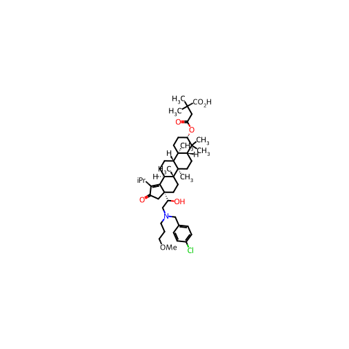 COCCCN(Cc1ccc(Cl)cc1)CC(O)[C@@]12CC[C@]3(C)[C@H](CC[C@@H]4[C@@]5(C)CC[C@H](OC(=O)CC(C)(C)C(=O)O)C(C)(C)[C@@H]5CC[C@]43C)C1=C(C(C)C)C(=O)C2